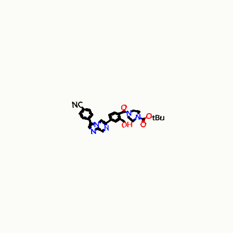 CC(C)(C)OC(=O)N1CCN(C(=O)c2ccc(-c3cn4c(-c5ccc(C#N)cc5)cnc4cn3)cc2CO)CC1